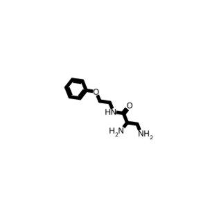 NCC(N)C(=O)NCCOc1ccccc1